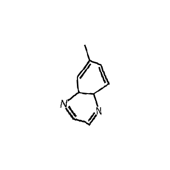 CC1=CC2N=CC=NC2C=C1